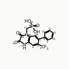 O=c1[nH]c2cc(C(F)(F)F)c(-c3ccccc3)cc2n(CP(=O)(O)O)c1=O